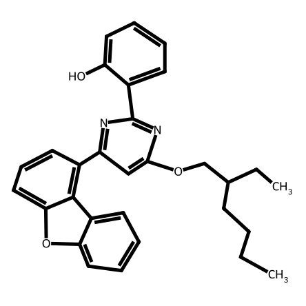 CCCCC(CC)COc1cc(-c2cccc3oc4ccccc4c23)nc(-c2ccccc2O)n1